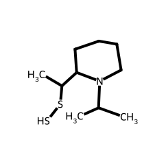 CC(SS)C1CCCCN1C(C)C